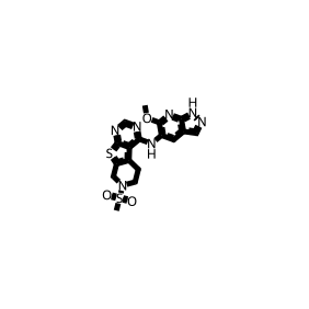 COc1nc2[nH]ncc2cc1Nc1ncnc2sc3c(c12)CCN(S(C)(=O)=O)C3